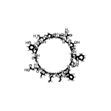 CCCC[C@H]1C(=O)N(C)[C@@H](CCCC)C(=O)N[C@@H](CC(C)C)C(=O)N[C@H](C(=O)NCC(=O)O)CSCC(=O)N[C@@H](Cc2ccc(O)cc2)C(=O)N(C)[C@@H](C)C(=O)N[C@@H](CC(N)=O)C(=O)N2CCC[C@H]2C(=O)N[C@@H](CO)C(=O)N[C@@H](CCC(N)=O)C(=O)N2C[C@H](O)C[C@H]2C(=O)N[C@@H](Cc2c[nH]c3ccccc23)C(=O)N[C@@H](CO)C(=O)N[C@@H](Cc2c[nH]c3ccccc23)C(=O)N1C